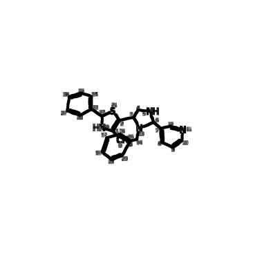 CC1=C(C2CNC(c3cccnc3)N2Cc2ccccc2)SC(c2ccccc2)N1